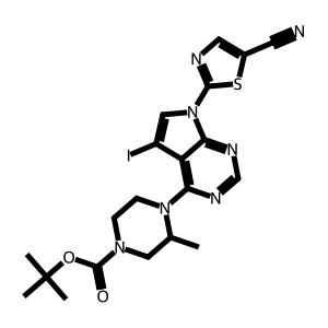 CC1CN(C(=O)OC(C)(C)C)CCN1c1ncnc2c1c(I)cn2-c1ncc(C#N)s1